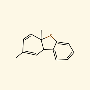 CC1=CC2c3ccccc3SC2(C)C=C1